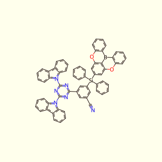 N#Cc1cc(-c2nc(-n3c4ccccc4c4ccccc43)nc(-n3c4ccccc4c4ccccc43)n2)cc([Si](c2ccccc2)(c2ccccc2)c2cc3c4c(c2)Oc2ccccc2B4c2ccccc2O3)c1